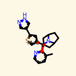 COC1(c2ncccc2C)CC2CCC(C1)N2C(=O)c1csc(-c2cn[nH]c2)c1